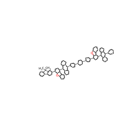 CC1(C)c2ccccc2-c2ccc(-c3ccc(-c4c5ccccc5c(-c5ccc(-c6ccc(-c7ccc(-c8ccc(-c9c%10ccccc%10c(-c%10ccccc%10)c%10ccccc9%10)c9c8oc8ccccc89)cc7)cc6)cc5)c5ccccc45)c4c3oc3ccccc34)cc21